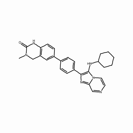 CN1Cc2cc(-c3ccc(-c4nc5cnccn5c4NC4CCCCC4)cc3)ccc2NC1=O